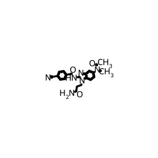 CC(=O)N(C)c1ccc2c(c1)nc(NC(=O)c1ccc(C#N)cc1)n2CCC(N)=O